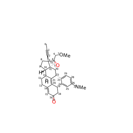 CC#C[C@]1(C(=O)COC)CC[C@H]2[C@@H]3CCC4=CC(=O)CCC4=C3[C@@H](c3ccc(NC)cc3)C[C@@]21C